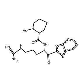 CC(=O)N1CCCCC1C(=O)NC(CCCNC(=N)N)C(=O)c1nc2ccccc2s1